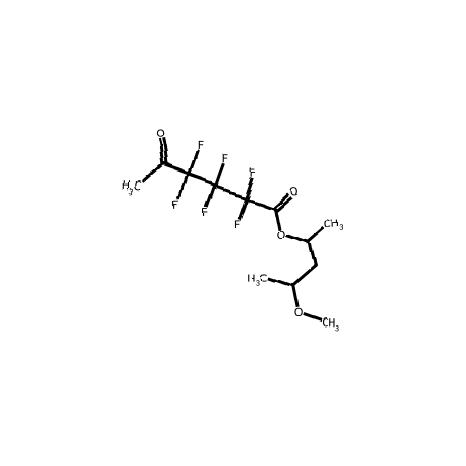 COC(C)CC(C)OC(=O)C(F)(F)C(F)(F)C(F)(F)C(C)=O